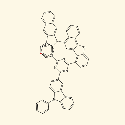 c1ccc(-c2nc(-c3ccc4c(c3)c3ccccc3n4-c3ccccc3)nc(-c3cccc4oc5c6ccccc6c(-n6c7ccccc7c7cc8ccccc8cc76)cc5c34)n2)cc1